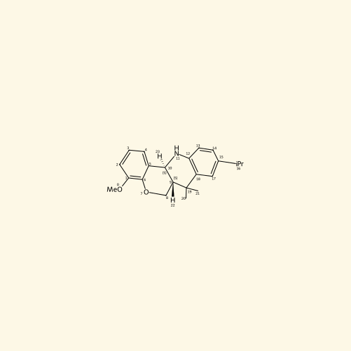 COc1cccc2c1OC[C@@H]1[C@@H]2Nc2ccc(C(C)C)cc2C1(C)C